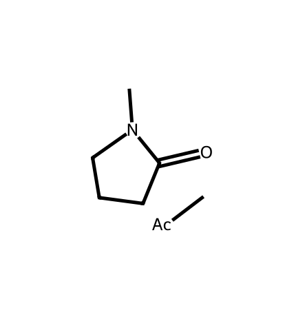 CC(C)=O.CN1CCCC1=O